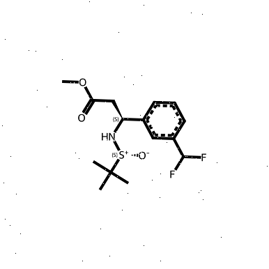 COC(=O)C[C@H](N[S@+]([O-])C(C)(C)C)c1cccc(C(F)F)c1